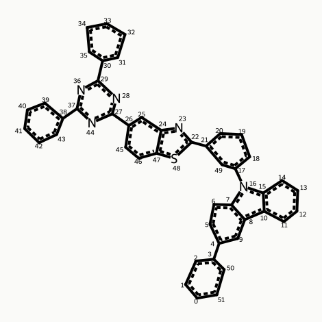 c1ccc(-c2ccc3c(c2)c2ccccc2n3-c2cccc(-c3nc4cc(-c5nc(-c6ccccc6)nc(-c6ccccc6)n5)ccc4s3)c2)cc1